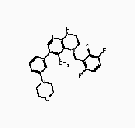 Cc1c(-c2cccc(N3CCOCC3)c2)cnc2c1N(Cc1c(F)ccc(F)c1Cl)CCN2